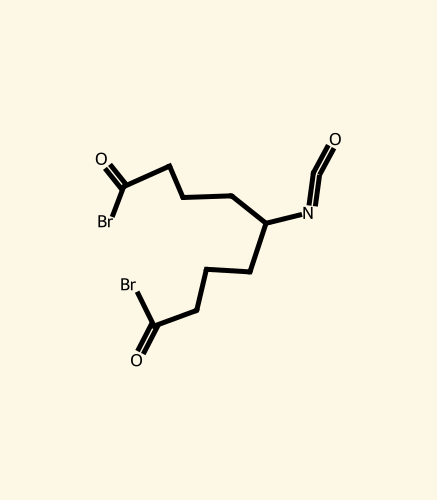 O=C=NC(CCCC(=O)Br)CCCC(=O)Br